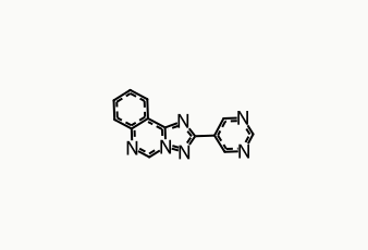 c1ccc2c(c1)ncn1nc(-c3cncnc3)nc21